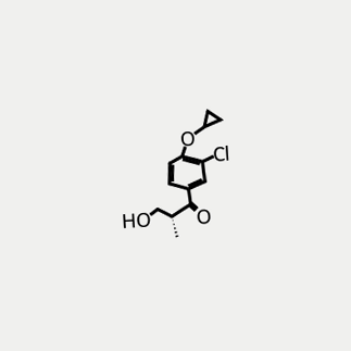 C[C@H](CO)C(=O)c1ccc(OC2CC2)c(Cl)c1